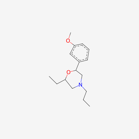 CCCN1CC(CC)OC(c2cccc(OC)c2)C1